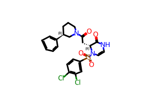 O=C1NC=CN(S(=O)(=O)c2ccc(Cl)c(Cl)c2)[C@@H]1CC(=O)N1CCC[C@H](c2ccccc2)C1